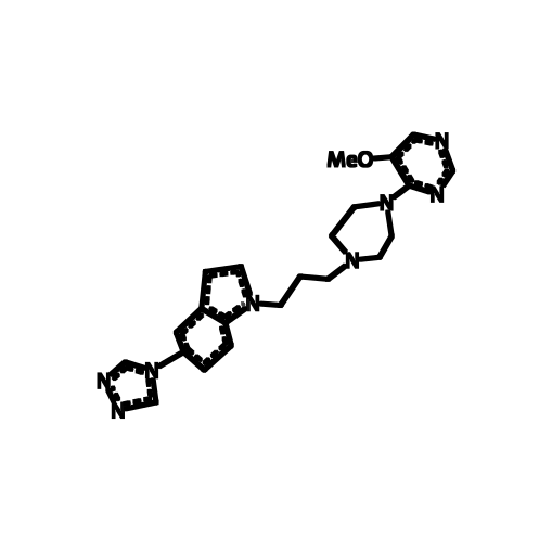 COc1cncnc1N1CCN(CCCn2ccc3cc(-n4cnnc4)ccc32)CC1